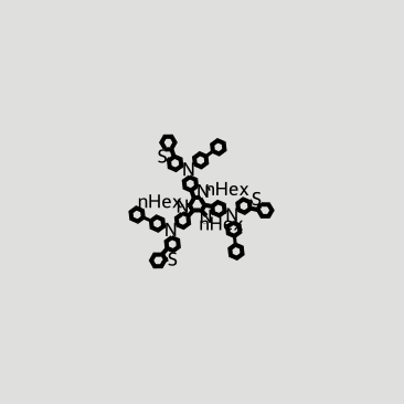 CCCCCCn1c2cc(N(c3ccc(-c4ccccc4)cc3)c3ccc4sc5ccccc5c4c3)ccc2c2c1c1c3ccc(N(c4ccc(-c5ccccc5)cc4)c4ccc5sc6ccccc6c5c4)cc3n(CCCCCC)c1c1c3ccc(N(c4ccc(-c5ccccc5)cc4)c4ccc5sc6ccccc6c5c4)cc3n(CCCCCC)c21